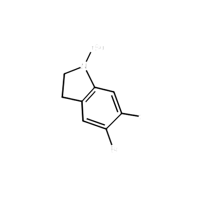 CC(C)(C)N1CCc2cc(Br)c(F)cc21